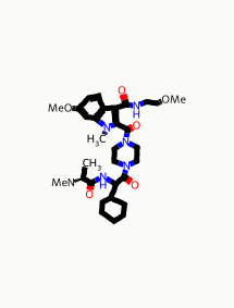 CN[C@@H](C)C(=O)NC(C(=O)N1CCN(C(=O)c2c(C(=O)NCCOC)c3ccc(OC)cc3n2C)CC1)C1CCCCC1